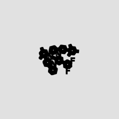 Cc1cc(C)c(-c2ccc3c4ccccc4n(-c4cc(-c5cc(F)cc(F)c5)cc(-n5c6ccccc6c6ccc(-c7c(C)cc(C)cc7C)cc65)c4C#N)c3c2)c(C)c1